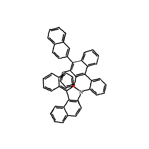 c1ccc(-n2c3ccc4ccccc4c3c3c4ccccc4ccc32)c(-c2c3ccccc3c(-c3ccc4ccccc4c3)c3ccccc23)c1